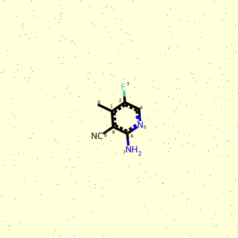 Cc1c(F)cnc(N)c1C#N